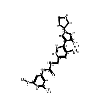 CCOc1cc(NC(=O)NCc2cc(C)c(-c3cn(C4CCOC4)nc3C(F)(F)F)nn2)cc(C(F)(F)F)n1